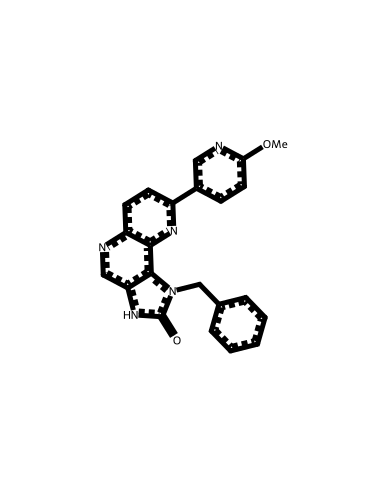 COc1ccc(-c2ccc3ncc4[nH]c(=O)n(Cc5ccccc5)c4c3n2)cn1